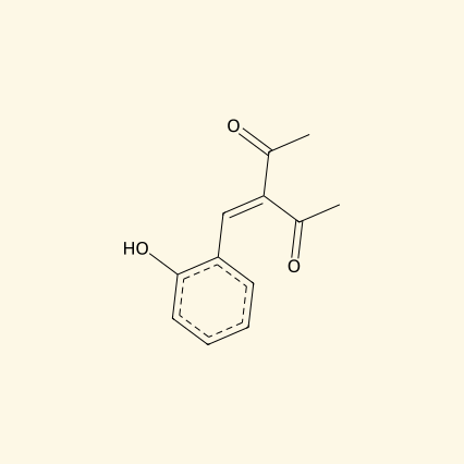 CC(=O)C(=Cc1ccccc1O)C(C)=O